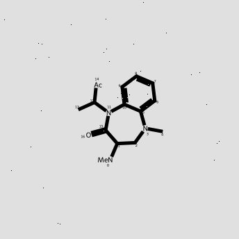 CNC1CN(C)c2ccccc2N(C(C)C(C)=O)C1=O